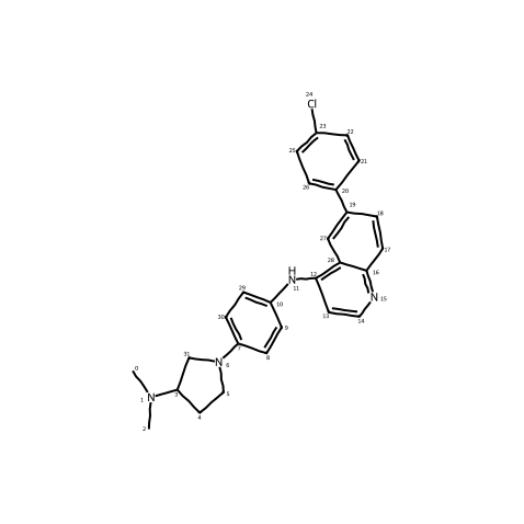 CN(C)C1CCN(c2ccc(Nc3ccnc4ccc(-c5ccc(Cl)cc5)cc34)cc2)C1